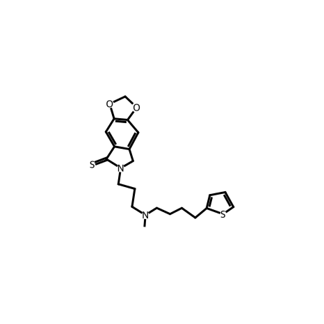 CN(CCCCc1cccs1)CCCN1Cc2cc3c(cc2C1=S)OCO3